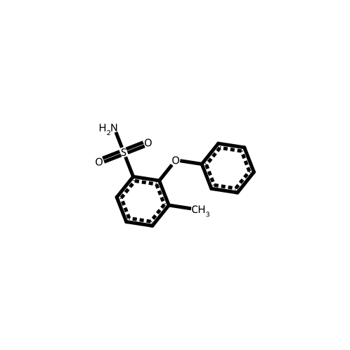 Cc1cccc(S(N)(=O)=O)c1Oc1ccccc1